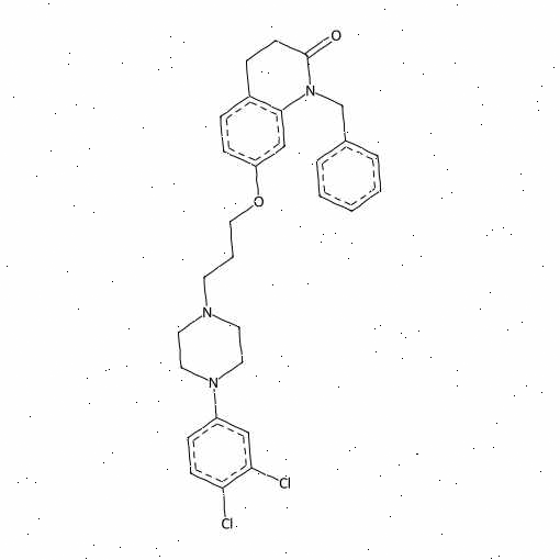 O=C1CCc2ccc(OCCCN3CCN(c4ccc(Cl)c(Cl)c4)CC3)cc2N1Cc1ccccc1